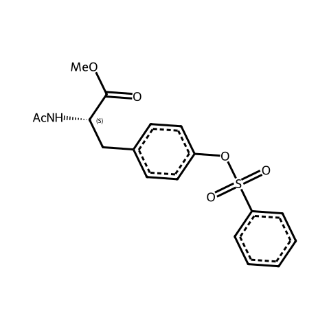 COC(=O)[C@H](Cc1ccc(OS(=O)(=O)c2ccccc2)cc1)NC(C)=O